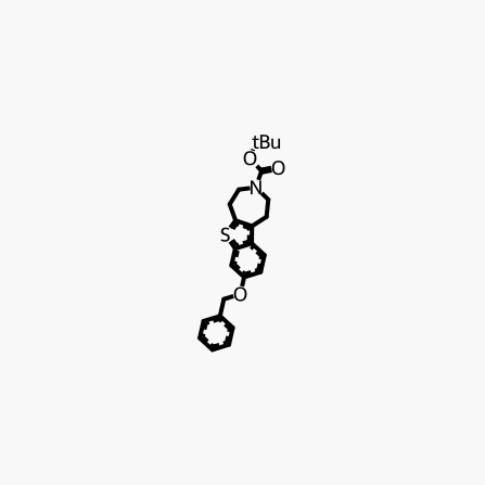 CC(C)(C)OC(=O)N1CCc2sc3cc(OCc4ccccc4)ccc3c2CC1